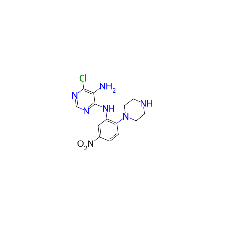 Nc1c(Cl)ncnc1Nc1cc([N+](=O)[O-])ccc1N1CCNCC1